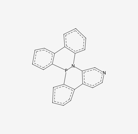 c1ccc2c(c1)-c1ccccc1P1c3ccccc3-c3ccncc3N21